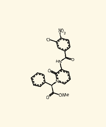 COC(=O)C(c1ccccc1)n1cccc(NC(=O)c2ccc([N+](=O)[O-])c(Cl)c2)c1=O